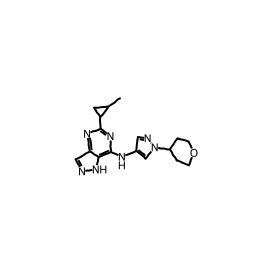 CC1CC1c1nc(Nc2cnn(C3CCOCC3)c2)c2[nH]ncc2n1